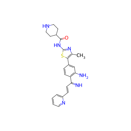 Cc1nc(NC(=O)C2CCNCC2)sc1-c1ccc(C(=N)/C=C/c2ccccn2)c(N)c1